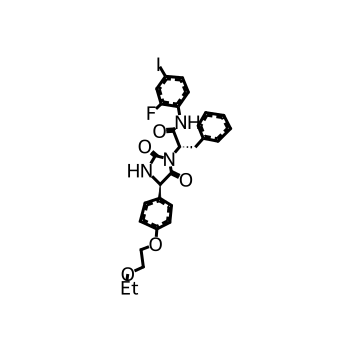 CCOCCOc1ccc([C@H]2NC(=O)N([C@@H](Cc3ccccc3)C(=O)Nc3ccc(I)cc3F)C2=O)cc1